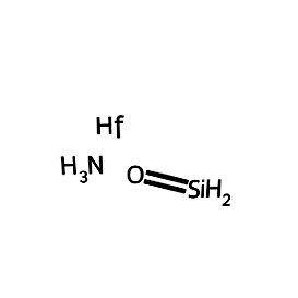 N.O=[SiH2].[Hf]